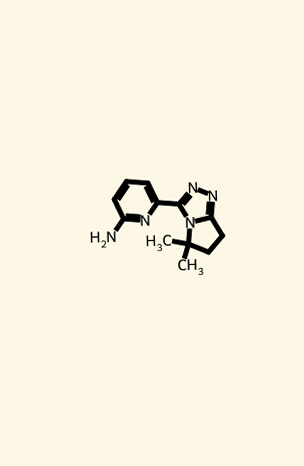 CC1(C)CCc2nnc(-c3cccc(N)n3)n21